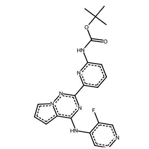 CC(C)(C)OC(=O)Nc1cccc(-c2nc(Nc3ccncc3F)c3cccn3n2)n1